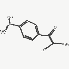 CCCC(CC)C(=O)c1ccc(B(O)O)cc1